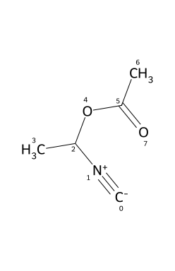 [C-]#[N+]C(C)OC(C)=O